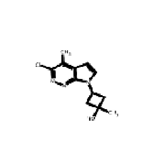 Cc1c(Cl)nnc2c1ccn2C1CC(C)(O)C1